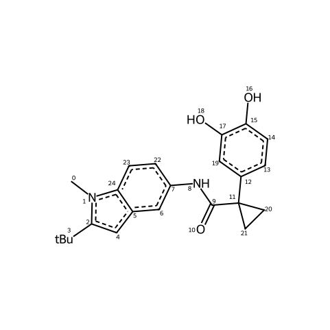 Cn1c(C(C)(C)C)cc2cc(NC(=O)C3(c4ccc(O)c(O)c4)CC3)ccc21